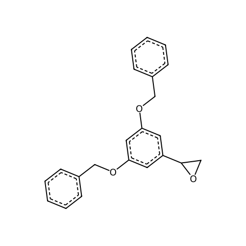 c1ccc(COc2cc(OCc3ccccc3)cc(C3CO3)c2)cc1